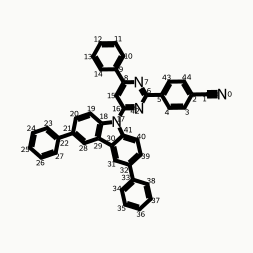 N#Cc1ccc(-c2nc(-c3ccccc3)cc(-n3c4ccc(-c5ccccc5)cc4c4cc(-c5ccccc5)ccc43)n2)cc1